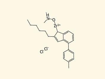 CCCCCCC1=Cc2c(-c3ccc(C)cc3)cccc2[CH]1[Zr+2][O][SiH](C)C.[Cl-].[Cl-]